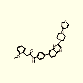 COc1ccccc1CC(=O)Nc1ccc(-c2ccc3ncc(N4CCN(c5ccncc5)CC4)nc3c2)cc1